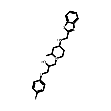 OC(COc1ccc(F)cc1)CN1CCC(NCc2nc3ccccc3s2)CC1I